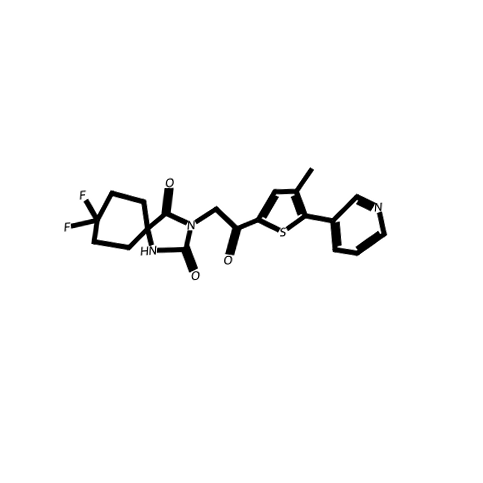 Cc1cc(C(=O)CN2C(=O)NC3(CCC(F)(F)CC3)C2=O)sc1-c1cccnc1